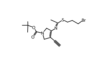 C#CC1=C(/N=C(\C)SCCCBr)CN(C(=O)OC(C)(C)C)C1